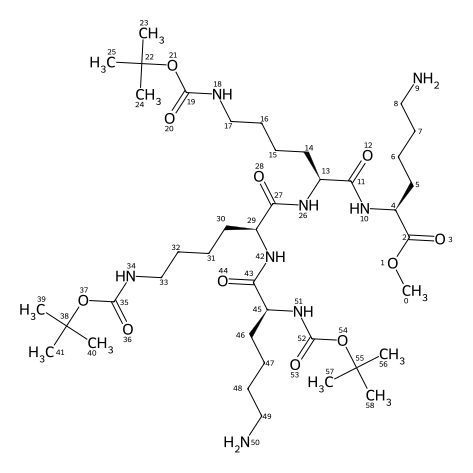 COC(=O)[C@H](CCCCN)NC(=O)[C@H](CCCCNC(=O)OC(C)(C)C)NC(=O)[C@H](CCCCNC(=O)OC(C)(C)C)NC(=O)[C@H](CCCCN)NC(=O)OC(C)(C)C